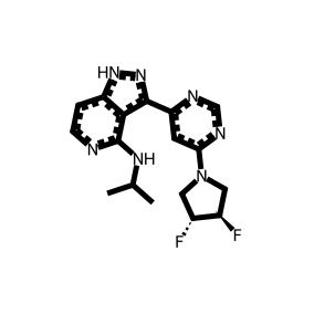 CC(C)Nc1nccc2[nH]nc(-c3cc(N4C[C@@H](F)[C@H](F)C4)ncn3)c12